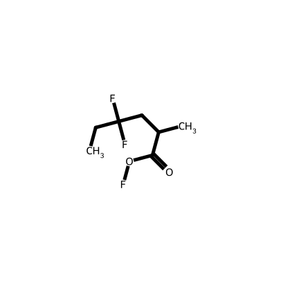 CCC(F)(F)CC(C)C(=O)OF